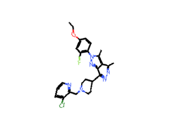 CCOc1ccc(-n2nc3c(C4CCN(Cc5ncccc5Cl)CC4)nnc(C)c3c2C)c(F)c1